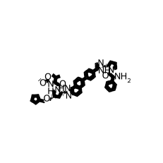 COC(=O)N[C@H](C(=O)N1C[C@@H](COCC2CCCC2)C[C@H]1c1nc2ccc3cc(-c4ccc(-c5cnc([C@@H]6CCCN6C(=O)[C@H](N)c6ccccc6)[nH]5)cc4)ccc3c2[nH]1)C(C)C